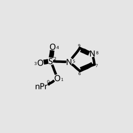 CCCOS(=O)(=O)n1ccnc1